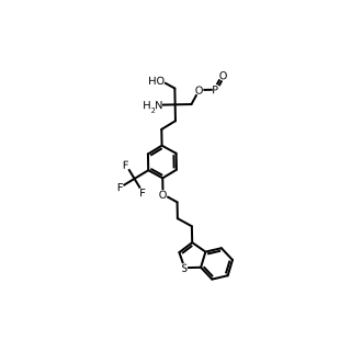 NC(CO)(CCc1ccc(OCCCc2csc3ccccc23)c(C(F)(F)F)c1)COP=O